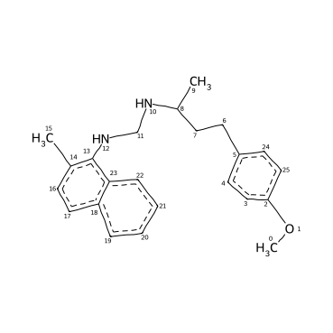 COc1ccc(CCC(C)NCNc2c(C)ccc3ccccc23)cc1